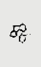 N#Cc1cnccn1.c1ccc2c(c1)ccc1ccccc12